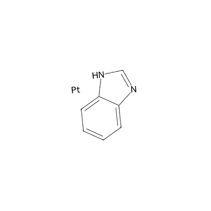 [Pt].c1ccc2[nH]cnc2c1